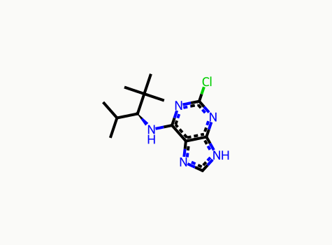 CC(C)[C@H](Nc1nc(Cl)nc2[nH]cnc12)C(C)(C)C